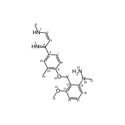 CN/C=C\C(=N)c1ccc(OCc2c(OC)cccc2N(C)N)c(C)c1